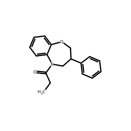 CCC(=O)N1CC(c2ccccc2)COc2ccccc21